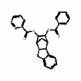 O=C(OC1C2CC(C3Cc4ccccc4C32)C1OC(=O)c1ccccn1)c1ccccc1